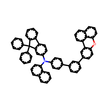 c1ccc(C2(c3ccccc3)c3ccccc3-c3ccc(N(c4ccc(-c5cccc(-c6ccc7c(c6)-c6cccc8cccc(c68)O7)c5)cc4)c4cccc5ccccc45)cc32)cc1